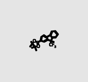 CC1(C)OB(c2ccc3c(c2)C(C)(C(F)(F)F)c2ccccc2-3)OC1(C)C